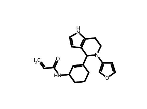 C=CC(=O)NC1C=C(C2c3cc[nH]c3CCN2c2ccoc2)CCC1